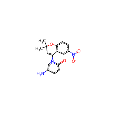 CC1(C)C=C(n2cc(N)ccc2=O)c2cc([N+](=O)[O-])ccc2O1